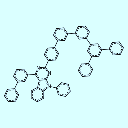 c1ccc(-c2cc(-c3ccccc3)cc(-c3cccc(-c4cccc(-c5ccc(-c6nc(-c7cccc(-c8ccccc8)c7)c7c8ccccc8n(-c8ccccc8)c7n6)cc5)c4)c3)c2)cc1